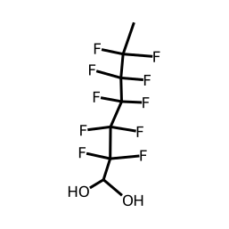 CC(F)(F)C(F)(F)C(F)(F)C(F)(F)C(F)(F)C(O)O